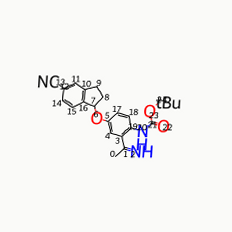 CC(=N)c1cc(OC2CCc3cc(C#N)ccc32)ccc1NC(=O)OC(C)(C)C